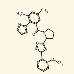 Cc1cc(C)c(-n2nccn2)c(C(=O)N2CCCC2c2nc(-c3ccccc3OC(F)(F)F)no2)c1